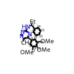 CCC(Nc1nnc(C)c(-c2cc(OC)c(OC)c(OC)c2)n1)c1ccccc1